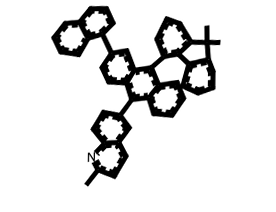 Cc1ccc2cc(-c3c4ccccc4c(-c4cccc5c4-c4ccccc4C5(C)C)c4cc(-c5cccc6ccccc56)ccc34)ccc2n1